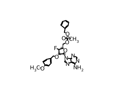 COc1ccc(CO[C@H]2C(F)[C@@H](COP(C)(=O)OCc3ccccc3)O[C@H]2n2cnc3c(N)ncnc32)cc1